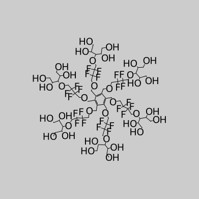 OCC(O)C(OCC(F)(F)C(F)(F)COCc1c(COCC(F)(F)C(F)(F)COC(C(O)CO)C(O)CO)c(COCC(F)(F)C(F)(F)COC(C(O)CO)C(O)CO)c(COCC(F)(F)C(F)(F)COC(C(O)CO)C(O)CO)c(COCC(F)(F)C(F)(F)COC(C(O)CO)C(O)CO)c1COCC(F)(F)C(F)(F)COC(C(O)CO)C(O)CO)C(O)CO